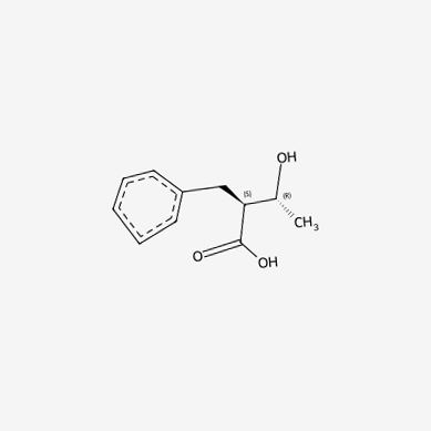 C[C@@H](O)[C@H](Cc1ccccc1)C(=O)O